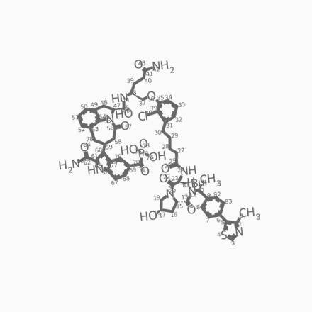 Cc1ncsc1-c1ccc([C@H](C)NC(=O)[C@@H]2C[C@@H](O)CN2C(=O)[C@@H](NC(=O)CCCCc2cccc(OC[C@H](CCC(N)=O)NC(O)[C@@H]3Cc4cccc5c4N3C(=O)CC(c3c(C(N)=O)[nH]c4ccc(C(=O)P(=O)(O)O)cc34)C5)c2Cl)C(C)(C)C)cc1